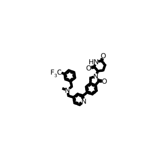 CN(Cc1cccc(C(F)(F)F)c1)Cc1ccnc(-c2ccc3c(c2)CN(C2CCC(=O)NC2=O)C3=O)c1